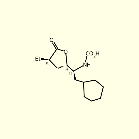 CC[C@@H]1C[C@@H]([C@H](CC2CCCCC2)NC(=O)O)OC1=O